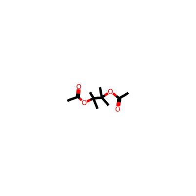 CC(=O)OC(C)(C)C(C)(C)OC(C)=O